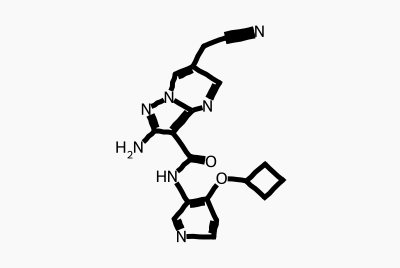 N#CCc1cnc2c(C(=O)Nc3cnccc3OC3CCC3)c(N)nn2c1